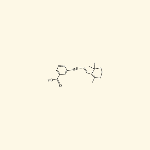 CC1=C(C=CC#Cc2cccc(C(=O)O)c2)C(C)(C)CCC1